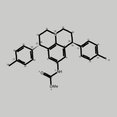 COC(=O)Nc1cc2c3c(c1)[C@H](c1ccc(I)cc1)CCN3CC[C@H]2c1ccc(C)cc1